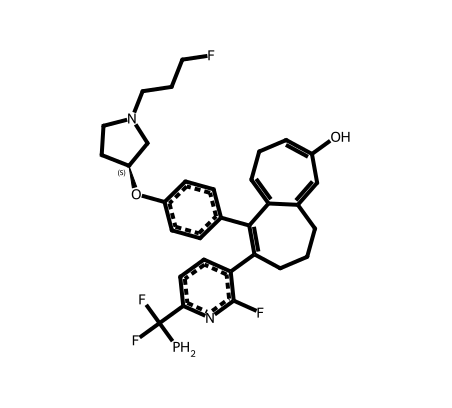 OC1=CCC=C2C(=C1)CCCC(c1ccc(C(F)(F)P)nc1F)=C2c1ccc(O[C@H]2CCN(CCCF)C2)cc1